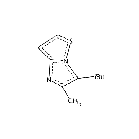 CCC(C)c1c(C)nc2ccsn12